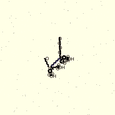 COCCOCCOCCOCCN1/C(=C/C=C/C=C/C=C/C2=[N+](CCCCCC(C)=O)c3ccc(S(=O)(=O)O)cc3C2(C)CCCS(=O)(=O)O)C(C)(CCCS(=O)(=O)O)c2cc(S(=O)(=O)O)ccc21